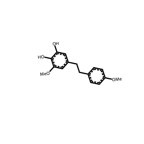 COc1ccc(CCc2cc(O)c(O)c(OC)c2)cc1